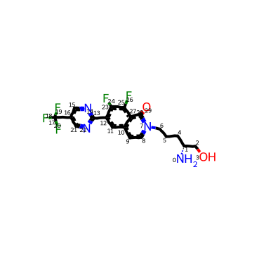 N[C@@H](CO)CCCn1ccc2cc(-c3ncc(C(F)(F)F)cn3)c(F)c(F)c2c1=O